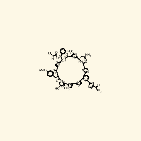 CCNC(=O)O[C@H](c1ccccc1)[C@@H]1NC(=O)c2nc(sc2C)[C@H](CC(N)=O)NC(=O)c2csc(n2)-c2ccc(-c3nc(C(N)=O)cs3)nc2-c2csc(n2)-c2csc(n2)[C@@H]2[C@@H](C)[C@@H](O)CN2C(=O)C(Cc2ccc(OC)cc2)NC(=O)c2csc1n2